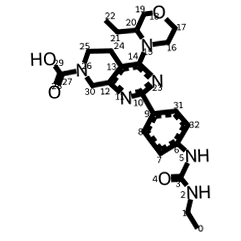 CCNC(=O)Nc1ccc(-c2nc3c(c(N4CCOCC4CC)n2)CCN(C(=O)O)C3)cc1